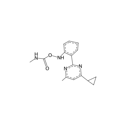 CNC(=O)ONc1ccccc1-c1nc(C)cc(C2CC2)n1